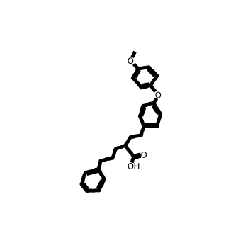 COc1ccc(Oc2ccc(CCC(CCCc3ccccc3)C(=O)O)cc2)cc1